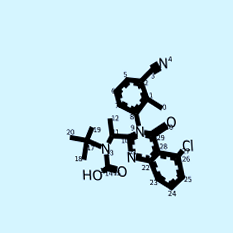 Cc1c(C#N)cccc1-n1c(C(C)N(C(=O)O)C(C)(C)C)nc2cccc(Cl)c2c1=O